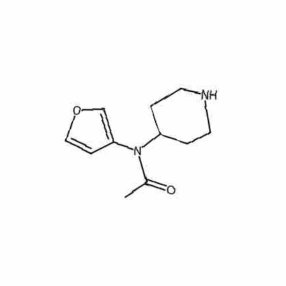 CC(=O)N(c1ccoc1)C1CCNCC1